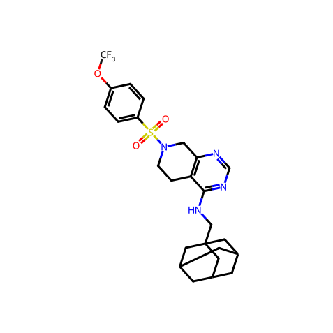 O=S(=O)(c1ccc(OC(F)(F)F)cc1)N1CCc2c(ncnc2NCC23CC4CC(CC(C4)C2)C3)C1